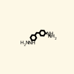 NNC1CCC(CC2CCC(NN)CC2)CC1